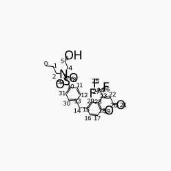 CCCN(CCO)S(=O)(=O)c1ccc(Cc2ccc3oc(=O)cc(C(F)(F)F)c3c2)cc1